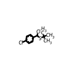 CC(C)(C)SC(Cl)c1ccc(Cl)cc1